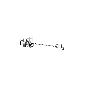 CCCCCCCCCCCCCCCCCCCCCC(=O)NC(C(=O)O)C(C)CC